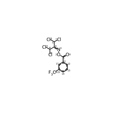 O=C(ON=C(C(Cl)Cl)C(Cl)Cl)c1cccc(C(F)(F)F)c1